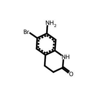 Nc1cc2c(cc1Br)CCC(=O)N2